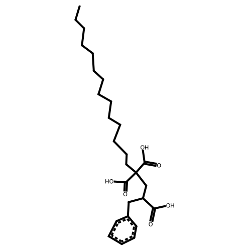 CCCCCCCCCCCCCCC(CC(Cc1ccccc1)C(=O)O)(C(=O)O)C(=O)O